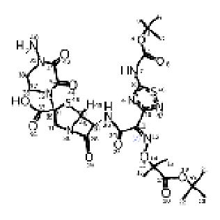 CC(C)(C)OC(=O)Nc1nc(/C(=N/OC(C)(C)C(=O)OC(C)(C)C)C(=O)N[C@@H]2C(=O)N3C[C@@](C(=O)O)(N4CCN(N)C(=O)C4=O)S[C@H]23)ns1